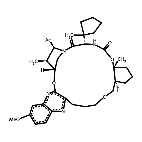 COc1ccc2nc3c(nc2c1)O[C@H]1CN(C(=O)[C@H](C2(C)CCCC2)NC(=O)O[C@]2(C)CCC[C@H]2CCCCC3)[C@H](C(C)=O)[C@@H]1C